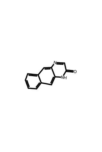 O=c1cnc2cc3ccccc3cc2[nH]1